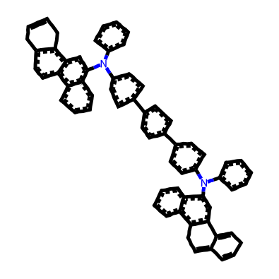 C1=CC2=CCc3c(cc(N(c4ccccc4)c4ccc(-c5ccc(-c6ccc(N(c7ccccc7)c7cc8c9c(ccc8c8ccccc78)CC=CC9)cc6)cc5)cc4)c4ccccc34)C2=CC1